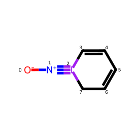 [O-][N+]#I1C=CC=CC1